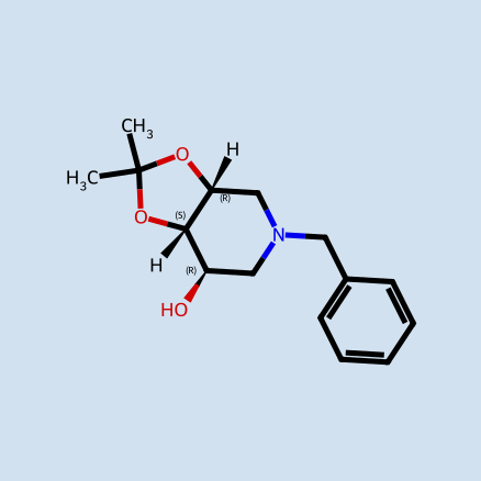 CC1(C)O[C@H]2[C@H](O)CN(Cc3ccccc3)C[C@H]2O1